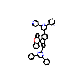 C/C=C\C(=C/CC)c1cc(-c2ccc3c(c2)C2(c4ccccc4Oc4ccccc42)c2cc(-c4nc(-c5ccccc5)cc(-c5ccccc5)n4)ccc2-3)cc(C2C=CN=CC2)n1